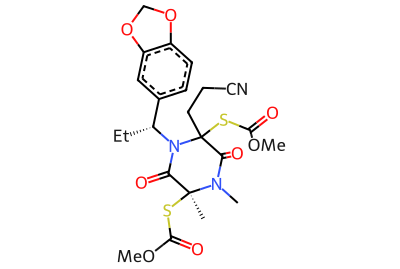 CC[C@H](c1ccc2c(c1)OCO2)N1C(=O)[C@](C)(SC(=O)OC)N(C)C(=O)C1(CCC#N)SC(=O)OC